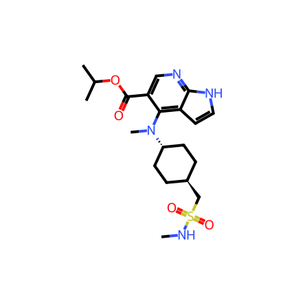 CNS(=O)(=O)C[C@H]1CC[C@H](N(C)c2c(C(=O)OC(C)C)cnc3[nH]ccc23)CC1